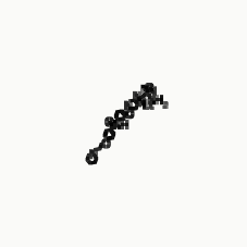 CCn1c(-c2nonc2N)nc2cnc(Oc3cccc(NC(=O)c4ccc(OCCCN5CCCCC5)cc4)c3)cc21